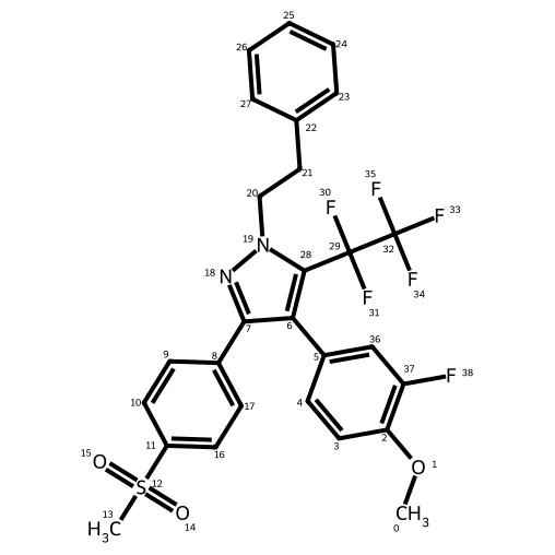 COc1ccc(-c2c(-c3ccc(S(C)(=O)=O)cc3)nn(CCc3ccccc3)c2C(F)(F)C(F)(F)F)cc1F